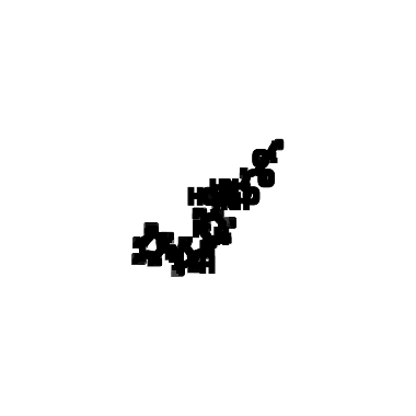 CCOC(=O)CC(=O)NNC(O)c1cnc(NC2CCN(c3ccccc3)C2)nc1